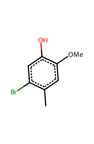 COc1cc(C)c(Br)cc1O